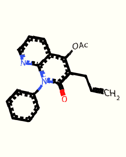 C=CCc1c(OC(C)=O)c2cccnc2n(-c2ccccc2)c1=O